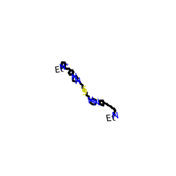 CC/N=C/C=C\C=C\C=C\c1ccc(N2CCCN(CCCCSSCCCCN3CCCN(c4ccc(/C=C/c5cccc[n+]5CC)cc4)CC3)CC2)cc1